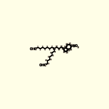 O=CCCCCCCCN(CCCCCCCC=O)CCCn1ccc2cc([N+](=O)[O-])ccc21